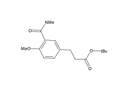 CNC(=O)c1cc(CCC(=O)OC(C)(C)C)ccc1OC